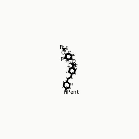 CCCCCC1CCC(CCc2ccc(C(F)(F)Oc3ccc(OC(F)F)c(F)c3)cc2)CC1